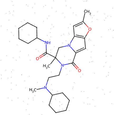 Cc1cc2c(cc3n2CC(C)(C(=O)NC2CCCCC2)N(CCN(C)C2CCCCC2)C3=O)o1